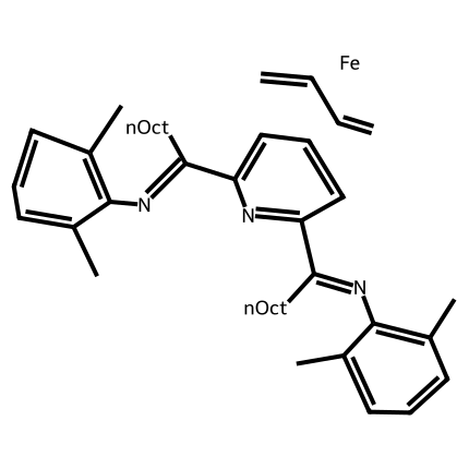 C=CC=C.CCCCCCCCC(=Nc1c(C)cccc1C)c1cccc(C(CCCCCCCC)=Nc2c(C)cccc2C)n1.[Fe]